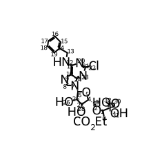 CCOC(=O)C(OC[C@H]1O[C@@H](n2cnc3c(NCc4ccccc4)nc(Cl)nc32)[C@H](O)[C@@H]1O)P(=O)(O)O